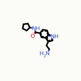 NCCc1c[nH]c2ccc(C(=O)NC3CCCC3)cc12